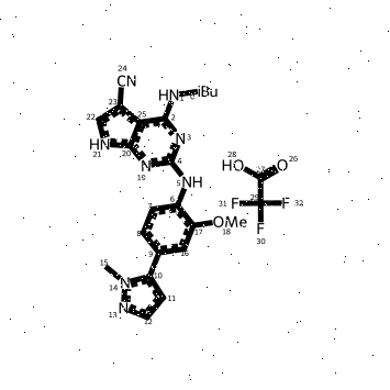 CCC(C)Nc1nc(Nc2ccc(-c3ccnn3C)cc2OC)nc2[nH]cc(C#N)c12.O=C(O)C(F)(F)F